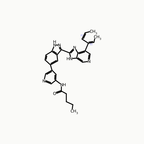 C/C=C\C(=C/C)c1cncc2[nH]c(-c3n[nH]c4ccc(-c5cncc(NC(=O)CCCC)c5)cc34)nc12